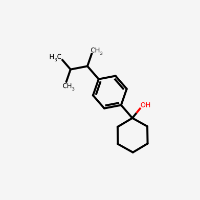 CC(C)C(C)c1ccc(C2(O)CCCCC2)cc1